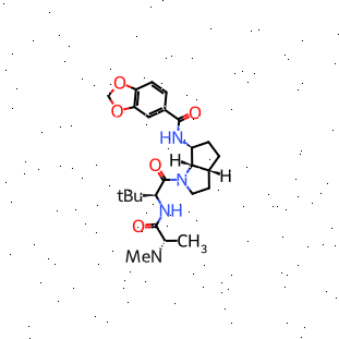 CN[C@@H](C)C(=O)N[C@H](C(=O)N1CC[C@H]2CC[C@H](NC(=O)c3ccc4c(c3)OCO4)[C@H]21)C(C)(C)C